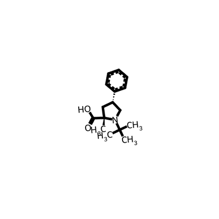 CC(C)(C)N1C[C@@H](c2ccccc2)C[C@@]1(C)C(=O)O